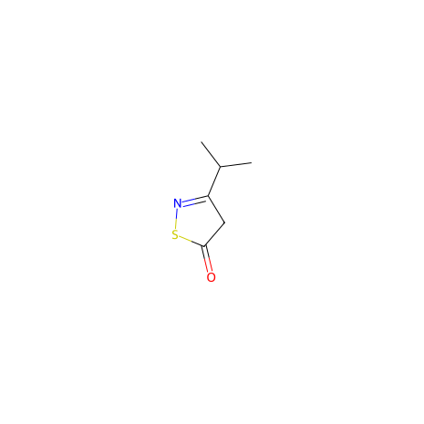 CC(C)C1=NSC(=O)C1